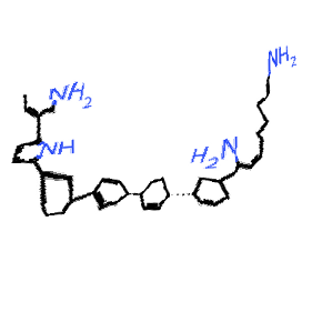 C/C=C(\CN)c1ccc(C2CCC=C(C3=CC[C@H](C4C=C[C@@H](C5C=CCC(C(N)/C=C\CCCCCN)C5)CC4)C=C3)C2)[nH]1